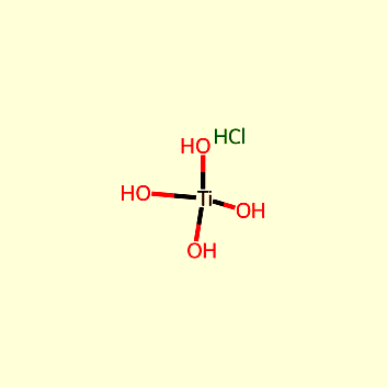 Cl.[OH][Ti]([OH])([OH])[OH]